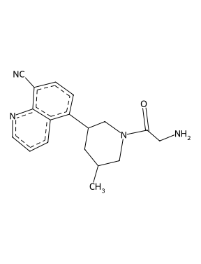 CC1CC(c2ccc(C#N)c3ncccc23)CN(C(=O)CN)C1